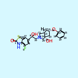 O=c1[nH]c2c(F)cc([C@@H](O)CN3C[C@H]4C[C@H](Oc5ccccc5)C[C@@]4(O)C3)cc2s1